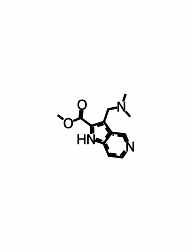 COC(=O)c1[nH]c2ccncc2c1CN(C)C